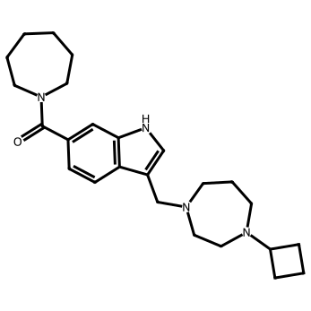 O=C(c1ccc2c(CN3CCCN(C4CCC4)CC3)c[nH]c2c1)N1CCCCCC1